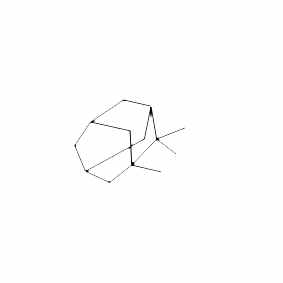 CCCCC12CC3CC(CC(C3)C1(C)C)C2